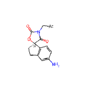 CC(=O)CN1C(=O)O[C@@]2(CCc3cc(N)ccc32)C1=O